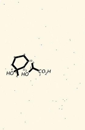 CC(O)C(=O)O.CC1(O)CCCCC1